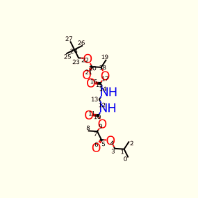 CC(C)COC(=O)C(C)OC(=O)NCNC(=O)OC(C)C(=O)OCC(C)(C)C